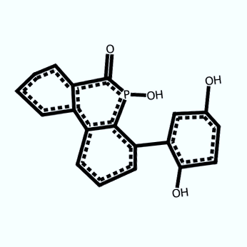 O=c1c2ccccc2c2cccc(-c3cc(O)ccc3O)c2p1O